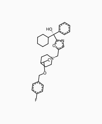 O[C@](c1ccccc1)(c1ncc(C[N+]23CCC(CC2)C(OCc2ccc(F)cc2)C3)o1)C1CCCCC1